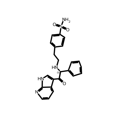 NS(=O)(=O)c1ccc(CCN[C@H](C(=O)c2c[nH]c3ncccc23)c2ccccc2)cc1